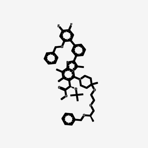 COC(=O)[C@@H](OC(C)(C)C)c1c(C)c(C)c2nc(-c3cccc(-c4cc(F)c(F)cc4OCc4ccccc4)c3)c(C)n2c1N1CCC(C)(OCCOC[C@@H](C)OCc2ccccc2)CC1